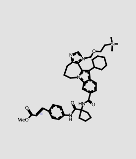 COC(=O)/C=C/c1ccc(NC(=O)C2(NC(=O)c3ccc4c(C5CCCCC5)c5n(c4c3)CCCc3ncn(COCC[Si](C)(C)C)c3-5)CCCC2)cc1